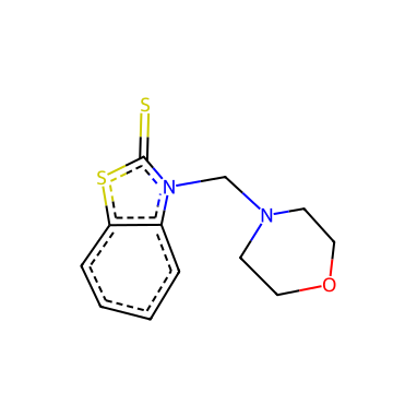 S=c1sc2ccccc2n1CN1CCOCC1